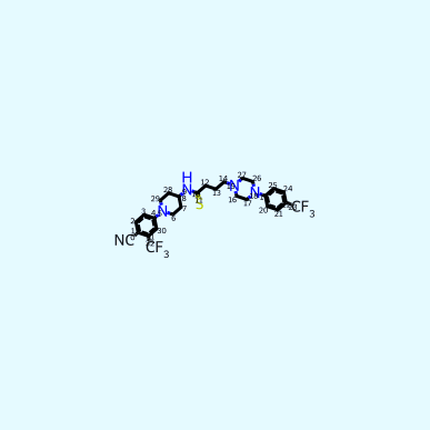 N#Cc1ccc(N2CCC(NC(=S)CCCN3CCN(c4ccc(C(F)(F)F)cc4)CC3)CC2)cc1C(F)(F)F